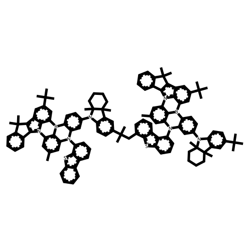 Cc1cc2c3c(c1)-n1c4c(c5cc(C(C)(C)C)cc(c51)B3c1ccc(N3c5ccc(C(C)(C)Cc6cccc7c6sc6cccc(N8c9cc(N%10c%11ccc(C(C)(C)C)cc%11C%11(C)CCCCC%10%11C)ccc9B9c%10c8cc(C)cc%10-n8c%10c(c%11cc(C(C)(C)C)cc9c%118)C(C)(C)c8ccccc8-%10)c67)cc5C5(C)CCCCC35C)cc1N2c1cccc2c1sc1ccccc12)C(C)(C)c1ccccc1-4